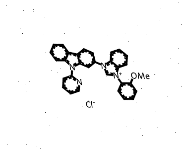 COc1ccccc1-[n+]1cn(-c2ccc3c4ccccc4n(-c4ccccn4)c3c2)c2ccccc21.[Cl-]